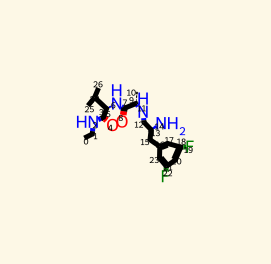 CCNC(=O)[C@@H](NC(=O)[C@H](C)NC[C@@H](N)Cc1cc(F)cc(F)c1)C(C)C